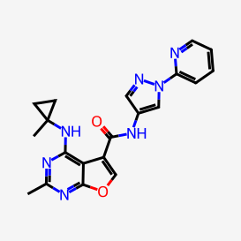 Cc1nc(NC2(C)CC2)c2c(C(=O)Nc3cnn(-c4ccccn4)c3)coc2n1